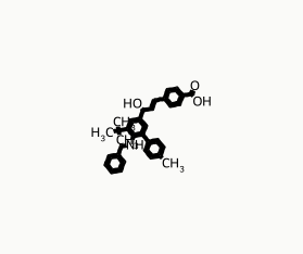 Cc1ccc(-c2cc(C(O)C=Cc3ccc(C(=O)O)cc3)cc(C(C)(C)C)c2NCc2ccccc2)cc1